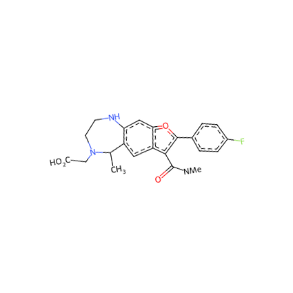 CNC(=O)c1c(-c2ccc(F)cc2)oc2cc3c(cc12)C(C)N(CC(=O)O)CCN3